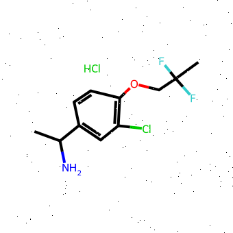 CC(N)c1ccc(OCC(C)(F)F)c(Cl)c1.Cl